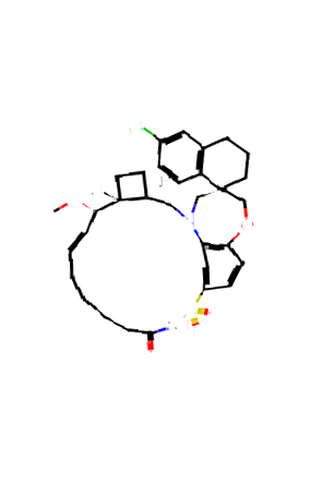 CO[C@@H]1/C=C/CCCCC(=O)NS(=O)(=O)c2ccc3c(c2)N(C[C@@H]2CC[C@H]21)C[C@@]1(CCCc2cc(Cl)ccc21)CO3